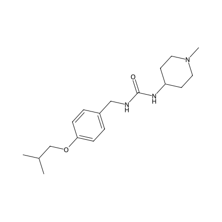 CC(C)COc1ccc(CNC(=O)NC2CCN(C)CC2)cc1